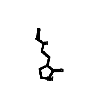 O=[C]NCCN1CCNC1=O